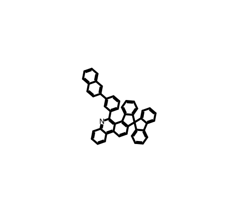 c1cc(-c2ccc3ccccc3c2)cc(-c2nc3ccccc3c3ccc4c(c23)-c2ccccc2C42c3ccccc3-c3ccccc32)c1